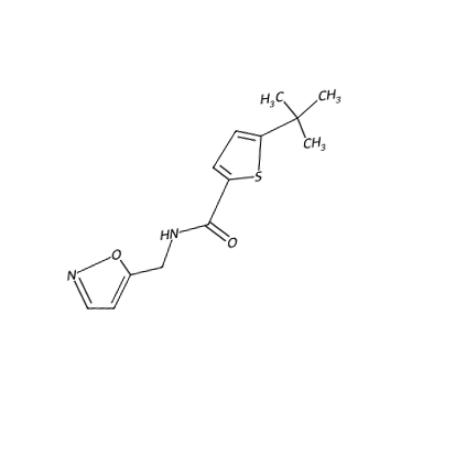 CC(C)(C)c1ccc(C(=O)NCc2ccno2)s1